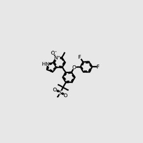 Cc1cc(-c2cc(C(C)(C)S(C)(=O)=O)ccc2Oc2ccc(F)cc2F)c2cc[nH]c2[n+]1[O-]